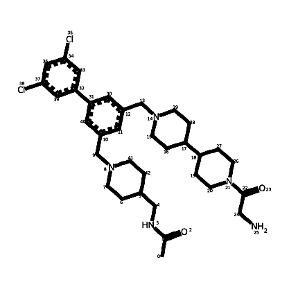 CC(=O)NCC1CCN(Cc2cc(CN3CCC(C4CCN(C(=O)CN)CC4)CC3)cc(-c3cc(Cl)cc(Cl)c3)c2)CC1